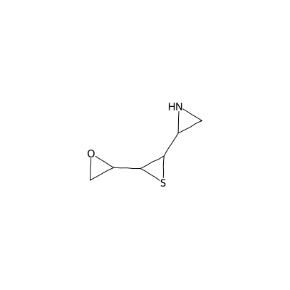 C1NC1C1SC1C1CO1